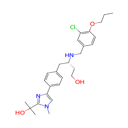 CCCOc1ccc(CN[C@H](CCO)Cc2ccc(-c3cn(C)c(C(C)(C)O)n3)cc2)cc1Cl